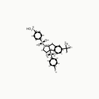 CC(F)(c1ccc2c(c1)CC1N(S(=O)(=O)c3ccc(C(=O)O)cc3)CCC21S(=O)(=O)c1ccc(F)cc1)C(F)(F)F